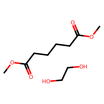 COC(=O)CCCCC(=O)OC.OCCO